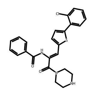 O=C(NC(=Cc1ccc(-c2ccccc2Cl)s1)C(=O)N1CCNCC1)c1ccccc1